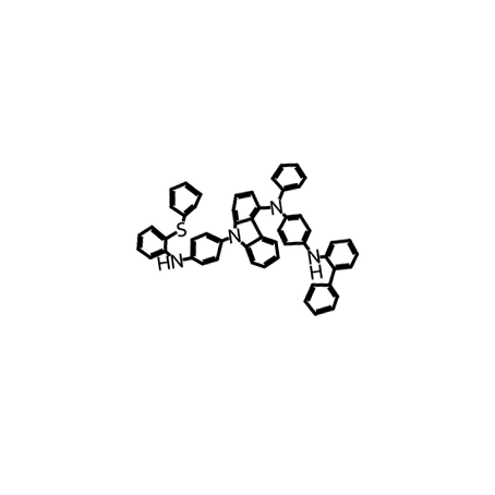 c1ccc(Sc2ccccc2Nc2ccc(-n3c4ccccc4c4c(N(c5ccccc5)c5ccc(Nc6ccccc6-c6ccccc6)cc5)cccc43)cc2)cc1